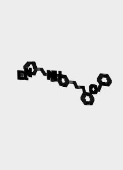 CCN1C=CC=C(CCNCc2ccc(CCCc3ccccc3OCc3ccccc3)cc2)C1